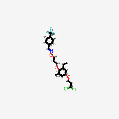 CCc1cc(OCC=C(Cl)Cl)cc(C)c1OCCCON=Cc1ccc(C(F)(F)F)cc1